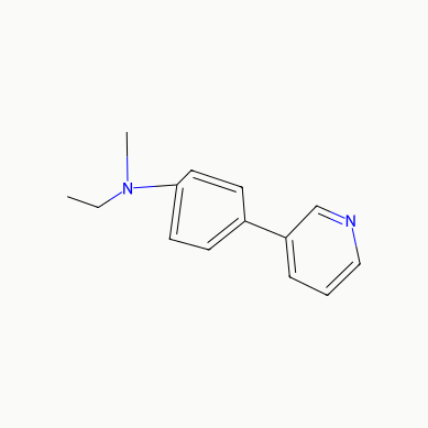 CCN(C)c1ccc(-c2cccnc2)cc1